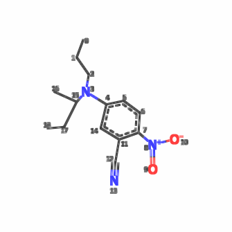 CCCN(c1ccc([N+](=O)[O-])c(C#N)c1)C(C)CC